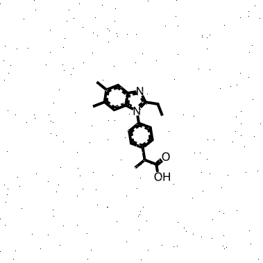 CCc1nc2cc(C)c(C)cc2n1-c1ccc(C(C)C(=O)O)cc1